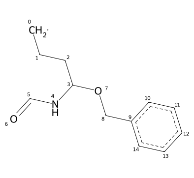 [CH2]CCC(NC=O)OCc1ccccc1